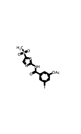 CC(=O)Oc1cc(I)cc(C(=O)Nc2ncc(S(C)(=O)=O)s2)c1